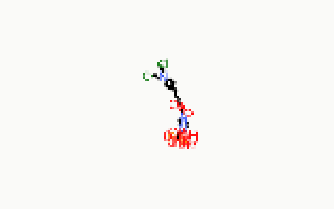 O=C(CCCc1ccc(N(CCCl)CCCl)cc1)OCC(=O)N1CCN(CCC(O)(P(=O)(O)O)P(=O)(O)O)CC1